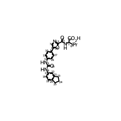 CC(C)C(NC(=O)c1ncc(-c2ccc(NC(=O)Nc3ccc4c(c3)CCC4)cc2)o1)C(=O)O